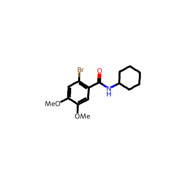 COc1cc(Br)c(C(=O)NC2CCCCC2)cc1OC